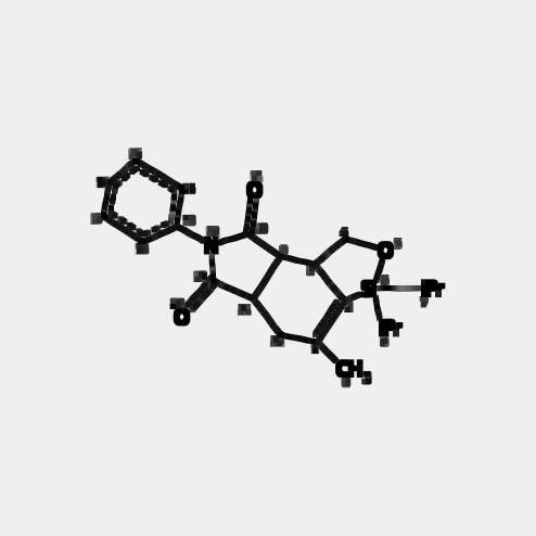 CC1=C2C(CO[Si]2(C(C)C)C(C)C)C2C(=O)N(c3ccccc3)C(=O)C2C1